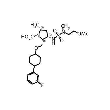 COCCN(C)S(=O)(=O)N[C@H]1C[C@@H](C)N(C(=O)O)[C@H]1COC1CCC(c2cccc(F)c2)CC1